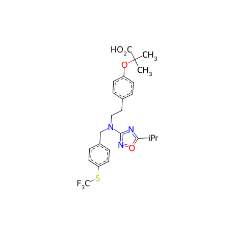 CC(C)c1nc(N(CCc2ccc(OC(C)(C)C(=O)O)cc2)Cc2ccc(SC(F)(F)F)cc2)no1